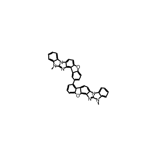 Cn1c2ccccc2n2c3ccc4c(oc5cccc(-c6ccc7oc8ccc9c(nc%10n(C)c%11ccccc%11n9%10)c8c7c6)c54)c3nc12